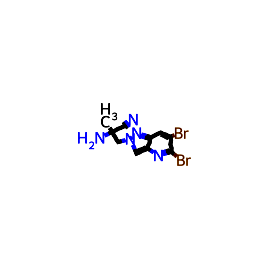 CC(N)(C#N)Cn1cc2nc(Br)c(Br)cc2n1